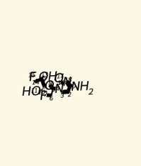 Nc1ccn([C@@H](CF)O[C@H](CO)[C@H](O)CF)c(=O)n1